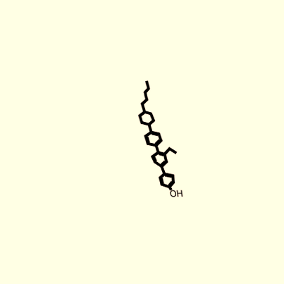 CCCCCC1CCC(c2ccc(-c3ccc(-c4ccc(O)cc4)cc3CC)cc2)CC1